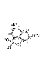 N#Cc1cnc2c(S(=O)(=O)[O-])cccc2c1.[K+]